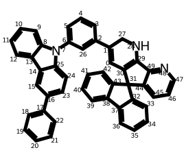 C1=C(c2cccc(-n3c4ccccc4c4cc(-c5ccccc5)ccc43)c2)CNC2=C1C1(c3ccccc3-c3ccccc31)c1cccnc12